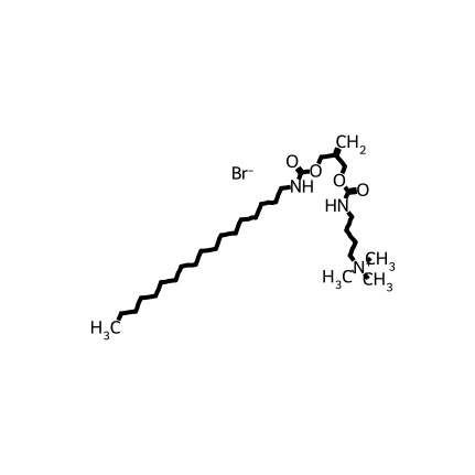 C=C(COC(=O)NCCCCCCCCCCCCCCCCCC)COC(=O)NCCCC[N+](C)(C)C.[Br-]